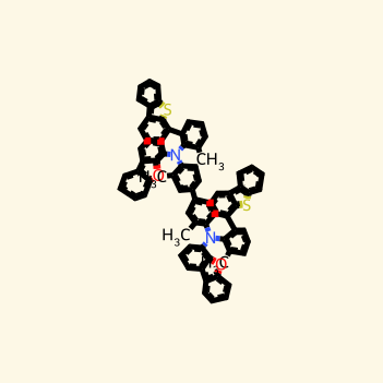 Cc1cc(-c2ccc(N(c3c(C)cccc3-c3cccc4c3sc3ccccc34)c3cccc4c3oc3ccccc34)c(C)c2)ccc1N(c1c(C)cccc1-c1cccc2c1sc1ccccc12)c1cccc2c1oc1ccccc12